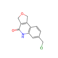 O=c1[nH]c2cc(CCl)ccc2c2c1COC2